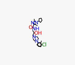 Cc1c(Cl)cccc1N1CCN(CC(O)CNC(=O)c2nc(C)n(C3CCCC3)c2C)CC1